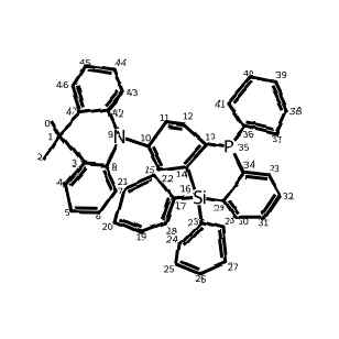 CC1(C)c2ccccc2N(c2ccc3c(c2)[Si](c2ccccc2)(c2ccccc2)c2ccccc2P3c2ccccc2)c2ccccc21